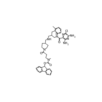 Cc1ccccc1CC(CNCC1CCN(C(=O)CCN(C)C(=O)OC2c3ccccc3-c3ccccc32)CC1)CNC(=O)c1nc(Cl)c(N)nc1N